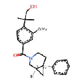 COc1cc(C(=O)N2CC[C@@]3(c4ccccc4)C[C@H]3C2)ccc1C(C)(C)CO